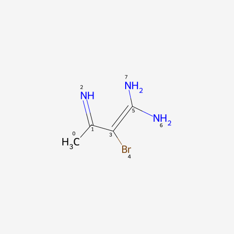 CC(=N)C(Br)=C(N)N